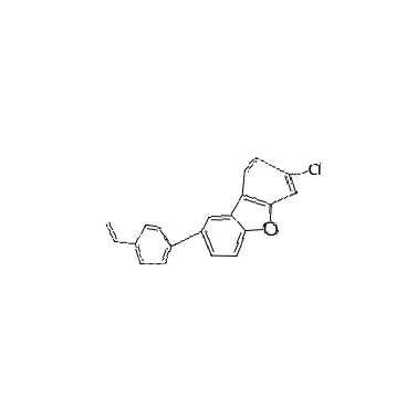 C=Cc1ccc(-c2ccc3oc4cc(Cl)ccc4c3c2)cc1